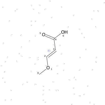 CO/C=C/C(=O)O